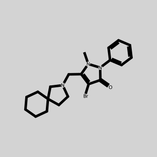 Cn1c(CN2CCC3(CCCCC3)C2)c(Br)c(=O)n1-c1ccccc1